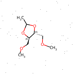 COC[C@H]1OC(C)O[C@@H]1COC